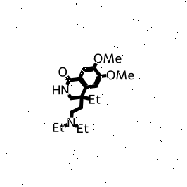 CCN(CC)CCC1(CC)CNC(=O)c2cc(OC)c(OC)cc21